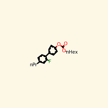 CCCCCCOC(=O)Oc1ccc(-c2ccc(CCC)cc2F)cc1